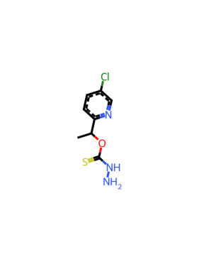 CC(OC(=S)NN)c1ccc(Cl)cn1